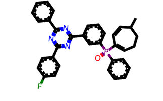 CC1C=CC(P(=O)(c2ccccc2)c2cccc(-c3nc(-c4ccccc4)nc(-c4ccc(F)cc4)n3)c2)=CCC1